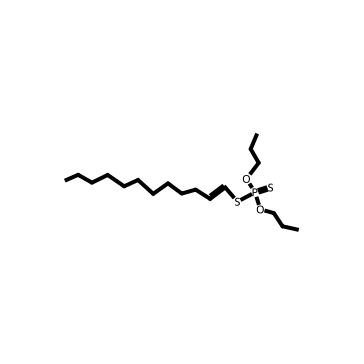 CCCCCCCCCCC=CSP(=S)(OCCC)OCCC